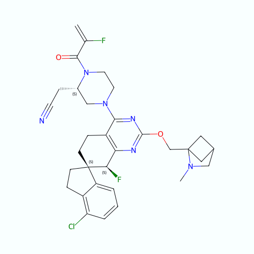 C=C(F)C(=O)N1CCN(c2nc(OCC34CC(CN3C)C4)nc3c2CC[C@@]2(CCc4c(Cl)cccc42)[C@@H]3F)C[C@@H]1CC#N